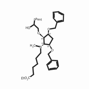 CCCCCC(O)CO[C@@H]1[C@@H](N(C)CCCCCC(=O)OCC)[C@H](OCc2ccccc2)C[C@@H]1OCc1ccccc1